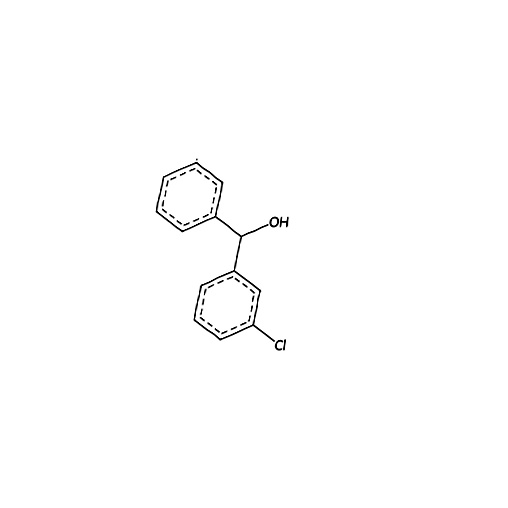 OC(c1c[c]ccc1)c1cccc(Cl)c1